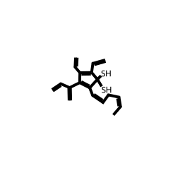 C=CC(=C)C1=C(/C=C\C/C=C\C)C(S)(S)C(C=C)=C1C=C